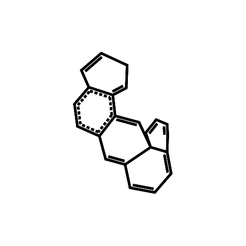 C1=CC2=CC=CC3=Cc4ccc5c(c4=CC23C=C1)=CCC=C5